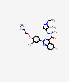 CCn1ncc(CN(C)C(=O)c2nc(-c3ccc(OCCCNC)c(C)c3)nc3ccc(Cl)cc23)c1C